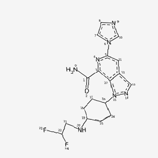 NC(=O)c1nc(-n2ccnc2)cc2cnn(C3CCC(NCC(F)F)CC3)c12